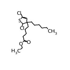 CCCCCCC1(CCCCC(=O)OCC)C=C(Cl)SC1Cl